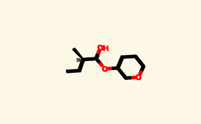 CC[C@@H](C)C(O)OC1CCCOC1